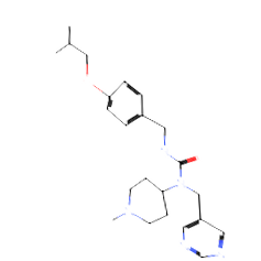 CC(C)COc1ccc(CNC(=O)N(Cc2cncnc2)C2CCN(C)CC2)cc1